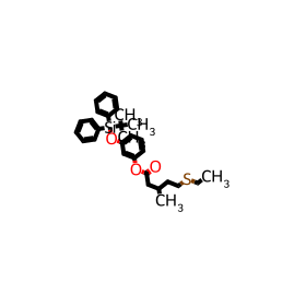 CCSCCC(C)CC(=O)Oc1cccc(O[Si](c2ccccc2)(c2ccccc2)C(C)(C)C)c1